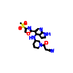 CS(=O)(=O)c1coc(-c2cnc3[nH]ccc3c2NC2CCCN(C(=O)CC#N)C2)n1